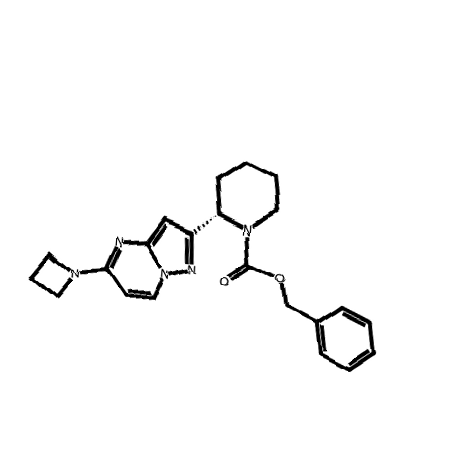 O=C(OCc1ccccc1)N1CCCC[C@H]1c1cc2nc(N3CCC3)ccn2n1